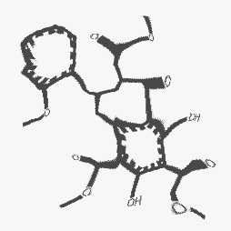 COC(=O)c1c(O)c(C(=O)OC)c2c(c1O)C(=O)C(C(=O)OC)C(c1ccccc1OC)C2